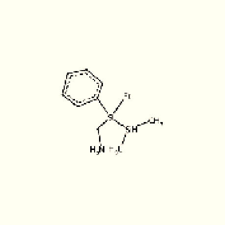 CC[Si](CN)(c1ccccc1)[SiH](C)C